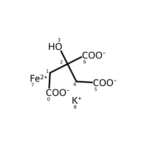 O=C([O-])CC(O)(CC(=O)[O-])C(=O)[O-].[Fe+2].[K+]